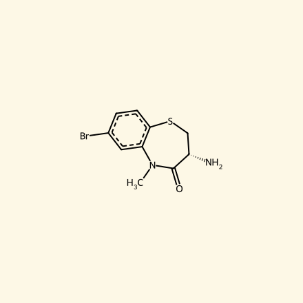 CN1C(=O)[C@@H](N)CSc2ccc(Br)cc21